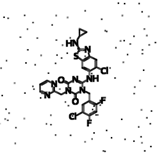 O=c1nc(Nc2cc3sc(NC4CC4)nc3cc2Cl)n(Cc2cc(Cl)c(F)cc2F)c(=O)n1Cc1ncccn1